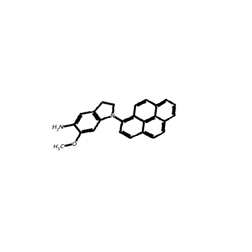 COc1cc2c(cc1N)CCN2c1ccc2ccc3cccc4ccc1c2c34